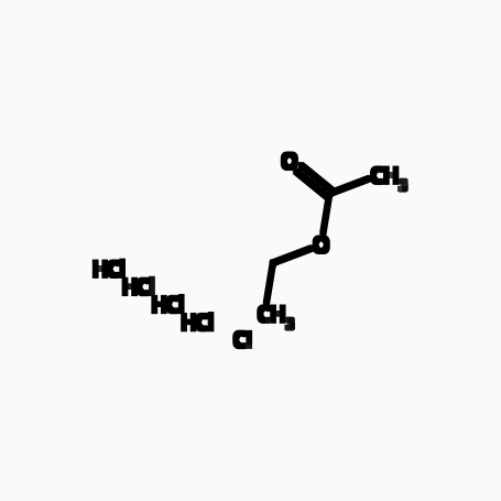 CCOC(C)=O.Cl.Cl.Cl.Cl.[C]